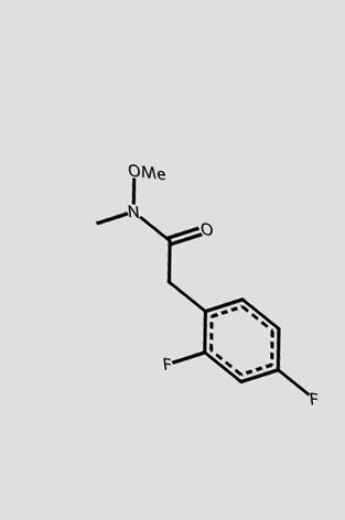 CON(C)C(=O)Cc1ccc(F)cc1F